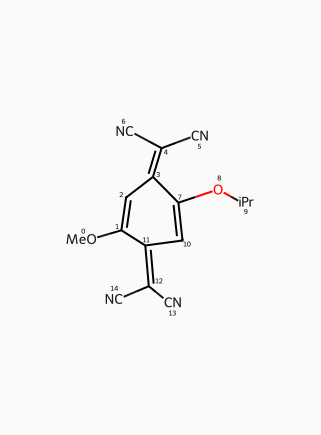 COc1cc(=C(C#N)C#N)c(OC(C)C)cc1=C(C#N)C#N